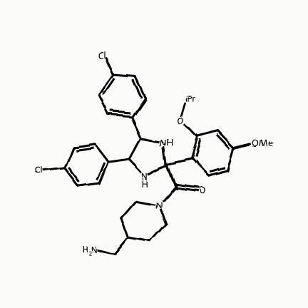 COc1ccc(C2(C(=O)N3CCC(CN)CC3)NC(c3ccc(Cl)cc3)C(c3ccc(Cl)cc3)N2)c(OC(C)C)c1